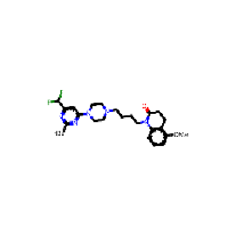 COc1cccc2c1CCC(=O)N2CCCCN1CCN(c2cc(C(F)F)nc(C(C)(C)C)n2)CC1